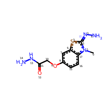 Cn1/c(=N\N)sc2cc(OCC(=O)NN)ccc21